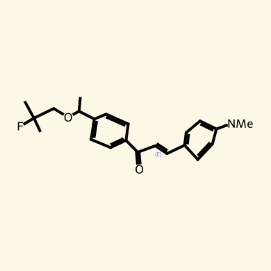 CNc1ccc(/C=C/C(=O)c2ccc(C(C)OCC(C)(C)F)cc2)cc1